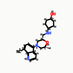 C[C@@H]1CN(c2ccc(C#N)c3ncccc23)C[C@H](CNC2CCC(O)CC2)O1